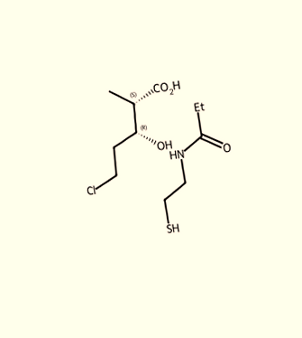 CCC(=O)NCCS.C[C@H](C(=O)O)[C@H](O)CCCl